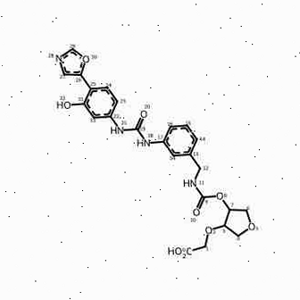 O=C(O)COC1COCC1OC(=O)NCc1cccc(NC(=O)Nc2ccc(-c3cnco3)c(O)c2)c1